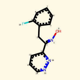 O/N=C(\Cc1ccccc1F)c1cccnn1